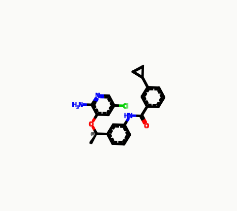 C[C@@H](Oc1cc(Cl)cnc1N)c1cccc(NC(=O)c2cccc(C3CC3)c2)c1